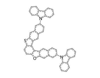 c1ccc2c(c1)c1ccccc1n2-c1ccc2cc3c(cc2c1)oc1ccc2sc4cc5cc(-n6c7ccccc7c7ccccc76)ccc5cc4c2c13